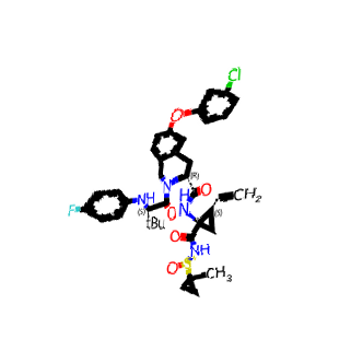 C=C[C@@H]1C[C@]1(NC(=O)[C@H]1Cc2cc(Oc3cccc(Cl)c3)ccc2CN1C(=O)[C@@H](Nc1ccc(F)cc1)C(C)(C)C)C(=O)N[S+]([O-])C1(C)CC1